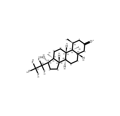 C[C@H]1CC(=O)C[C@@H]2CC[C@@H]3[C@H](CC[C@@]4(C)[C@H]3CC[C@@]4(O)C(F)(F)C(F)(F)F)[C@]21C